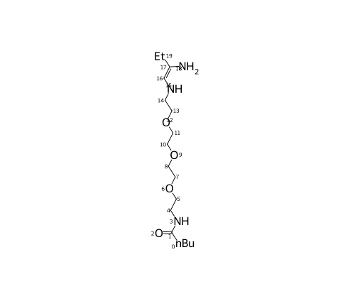 CCCCC(=O)NCCOCCOCCOCCN/C=C(\N)CC